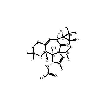 CCC(C)C(=O)O[C@H]1C(C)=C[C@]23C(=O)[C@@H](C=C4COC(C)(C)O[C@H]4[C@]12O)[C@H]1[C@@H](C[C@H]3C)C1(C)C